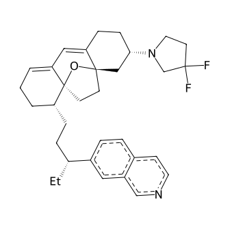 CC[C@H](CC[C@@H]1CCC=C2C=C3CC[C@H](N4CCC(F)(F)C4)C[C@]34CC[C@@]21O4)c1ccc2ccncc2c1